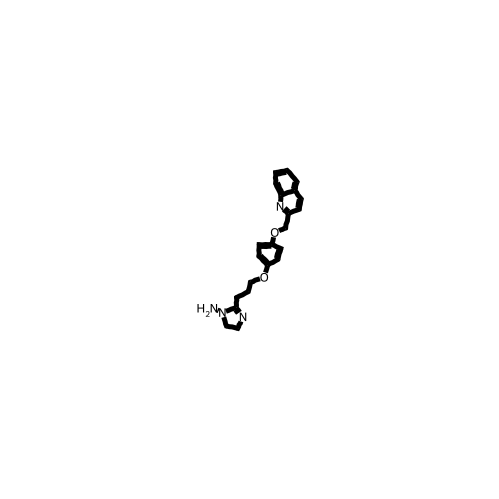 NN1CCN=C1CCCOc1ccc(OCc2ccc3ccccc3n2)cc1